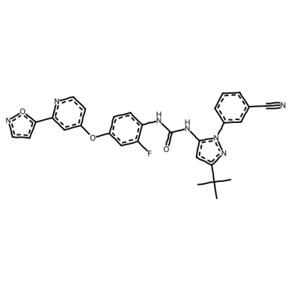 CC(C)(C)c1cc(NC(=O)Nc2ccc(Oc3ccnc(-c4ccno4)c3)cc2F)n(-c2cccc(C#N)c2)n1